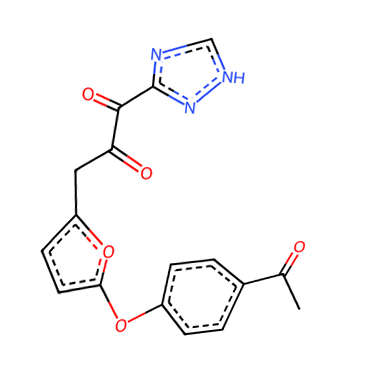 CC(=O)c1ccc(Oc2ccc(CC(=O)C(=O)c3nc[nH]n3)o2)cc1